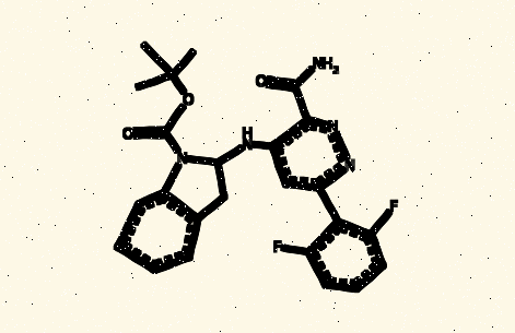 CC(C)(C)OC(=O)N1c2ccccc2CC1Nc1cc(-c2c(F)cccc2F)nnc1C(N)=O